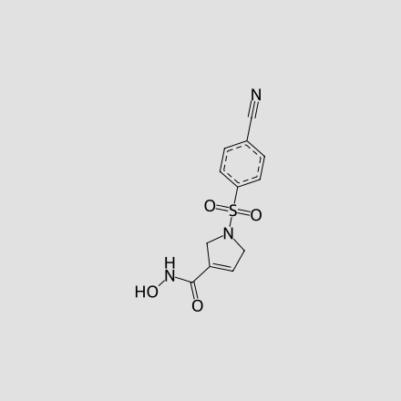 N#Cc1ccc(S(=O)(=O)N2CC=C(C(=O)NO)C2)cc1